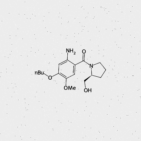 CCCCOc1cc(N)c(C(=O)N2CCC[C@H]2CO)cc1OC